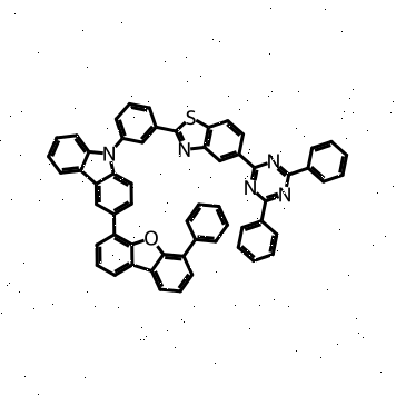 c1ccc(-c2nc(-c3ccccc3)nc(-c3ccc4sc(-c5cccc(-n6c7ccccc7c7cc(-c8cccc9c8oc8c(-c%10ccccc%10)cccc89)ccc76)c5)nc4c3)n2)cc1